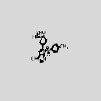 Cc1ccc(S(=O)(=O)n2c(C3=CCCN(BC=O)C3)cc3c(Cl)ncnc32)cc1